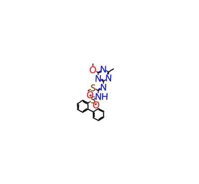 COc1nc(C)nc(N=C(NS(=O)(=O)c2ccccc2-c2ccccc2)SC)n1